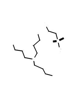 CCCCN(CCCC)CCCC.O=S(=O)(O)CCO